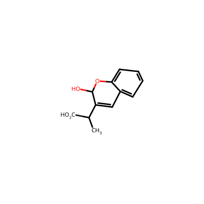 CC(C(=O)O)C1=Cc2ccccc2OC1O